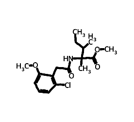 CCC(C)C(C)(NC(=O)Cc1c(Cl)cccc1OC)C(=O)OC